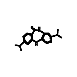 CC(C)c1ccc2c(c1)NC(=O)c1ccc(C(C)C)cc1N2